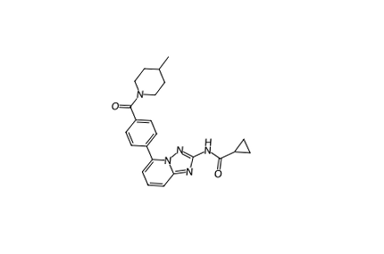 CC1CCN(C(=O)c2ccc(-c3cccc4nc(NC(=O)C5CC5)nn34)cc2)CC1